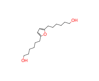 OCCCCCCc1ccc(CCCCCCO)o1